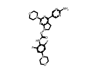 Nc1ncc(-c2nc(N3CCOCC3)nc3c2CCN3OC(=O)Nc2c(F)cc(N3CCOCC3)cc2F)cn1